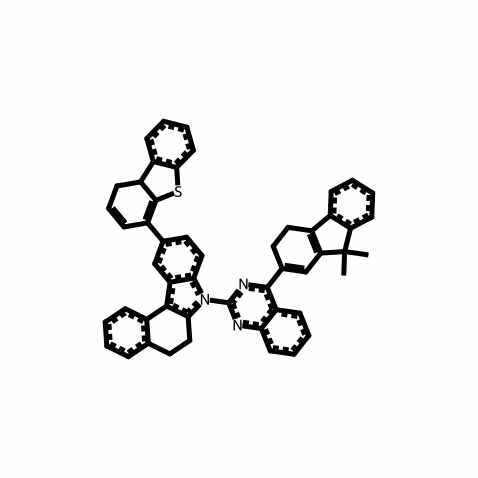 CC1(C)C2=C(CCC(c3nc(-n4c5c(c6cc(C7=C8Sc9ccccc9C8CC=C7)ccc64)-c4ccccc4CC5)nc4ccccc34)=C2)c2ccccc21